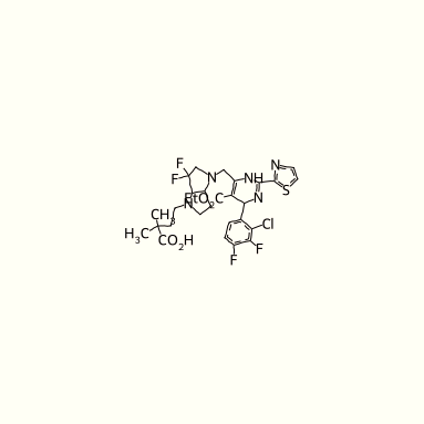 CCOC(=O)C1=C(CN2CC(F)(F)C3C2CCN3CCC(C)(C)C(=O)O)NC(c2nccs2)=NC1c1ccc(F)c(F)c1Cl